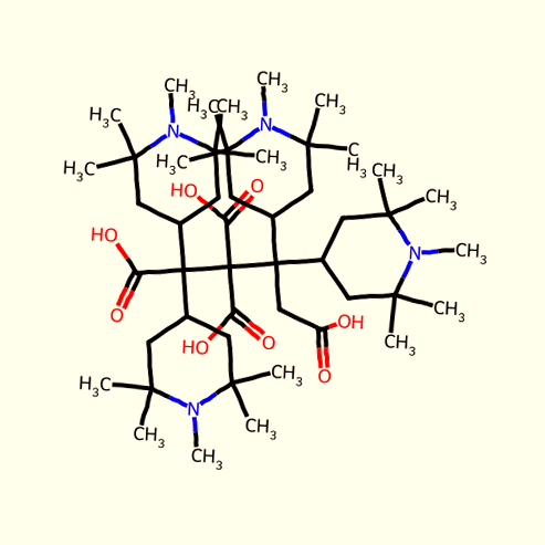 CN1C(C)(C)CC(C(CC(=O)O)(C2CC(C)(C)N(C)C(C)(C)C2)C(C(=O)O)(C(=O)O)C(C(=O)O)(C2CC(C)(C)N(C)C(C)(C)C2)C2CC(C)(C)N(C)C(C)(C)C2)CC1(C)C